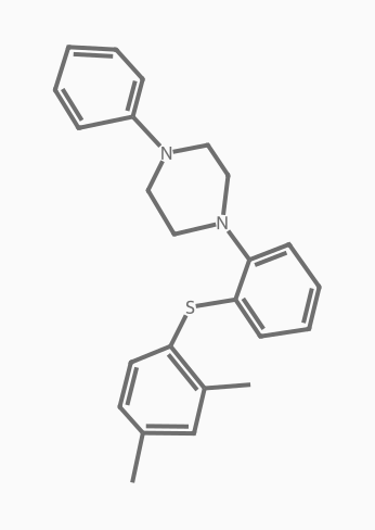 Cc1ccc(Sc2ccccc2N2CCN(c3ccccc3)CC2)c(C)c1